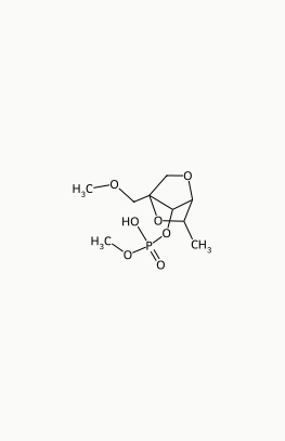 COCC12COC(C(C)O1)C2OP(=O)(O)OC